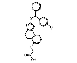 COc1ccc(C(Sc2nc3c(s2)CCc2c(OCC(=O)O)cccc2-3)c2ccccc2)cc1